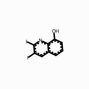 Oc1cccc2cc(I)c(I)nc12